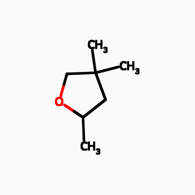 CC1CC(C)(C)CO1